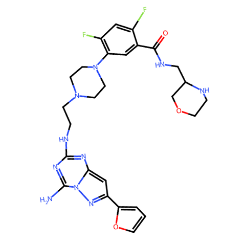 Nc1nc(NCCN2CCN(c3cc(C(=O)NCC4COCCN4)c(F)cc3F)CC2)nc2cc(-c3ccco3)nn12